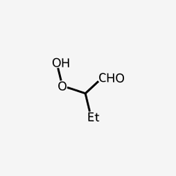 CCC(C=O)OO